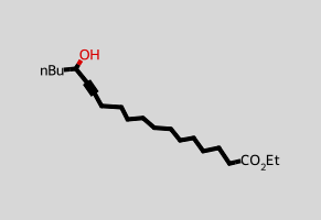 CCCCC(O)C#CCCCCCCCCCCCC(=O)OCC